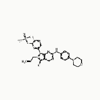 C=CCn1c(=O)c2cnc(Nc3ccc(N4CCOCC4)cc3)nc2n1-c1cncc(N=S(C)(C)=O)n1